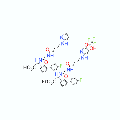 CCOC(=O)CC(NC(=O)CNC(=O)CCCCNc1ccccn1)c1cccc(-c2ccc(F)cc2)c1.O=C(O)C(F)(F)F.O=C(O)CC(NC(=O)CNC(=O)CCCCNc1ccccn1)c1cccc(-c2ccc(F)cc2)c1